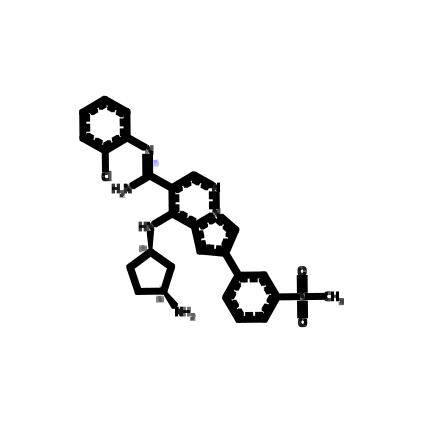 CS(=O)(=O)c1cccc(-c2cc3c(N[C@@H]4CC[C@H](N)C4)c(/C(N)=N/c4ccccc4Cl)cnn3c2)c1